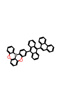 c1ccc2c(c1)Oc1cccc3c1B2c1ccc(-c2c4ccccc4c(-c4cc5ccccc5c5ccccc45)c4ccccc24)cc1O3